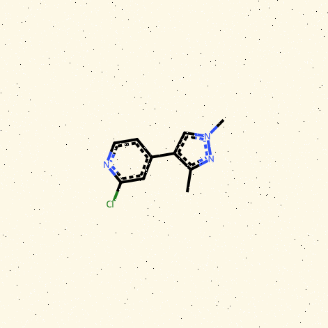 Cc1nn(C)cc1-c1ccnc(Cl)c1